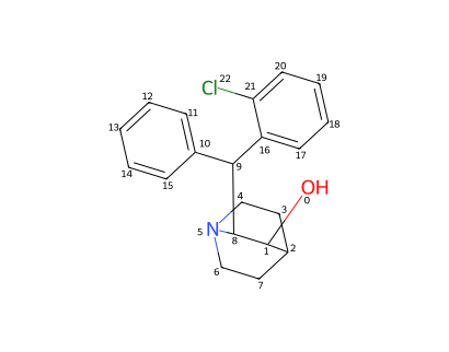 OC1C2CCN(CC2)C1C(c1ccccc1)c1ccccc1Cl